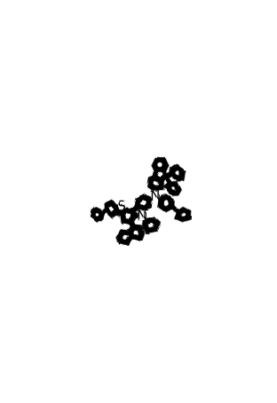 c1ccc(-c2ccc(N(c3ccc4c(c3)C(c3ccccc3)(c3ccccc3)c3ccccc3-4)c3ccc4c5c6sc7ccc(-c8ccccc8)cc7c6cc(-c6cccc7ccccc67)c5n(-c5ccccc5)c4c3)cc2)cc1